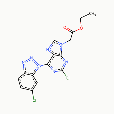 CCOC(=O)Cn1cnc2c(-n3nnc4ccc(Cl)cc43)nc(Cl)nc21